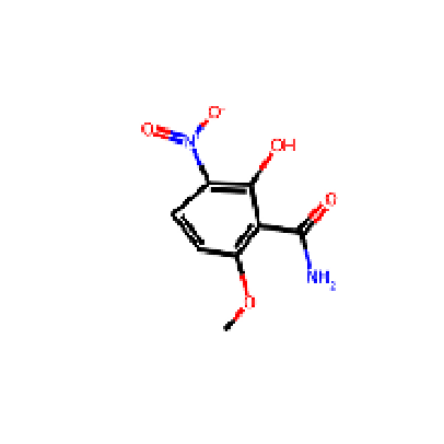 COc1ccc([N+](=O)[O-])c(O)c1C(N)=O